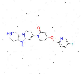 O=c1cc(OCc2ccc(F)cn2)ccn1C1=CC2NC3=C(CNCC3)N2C=C1